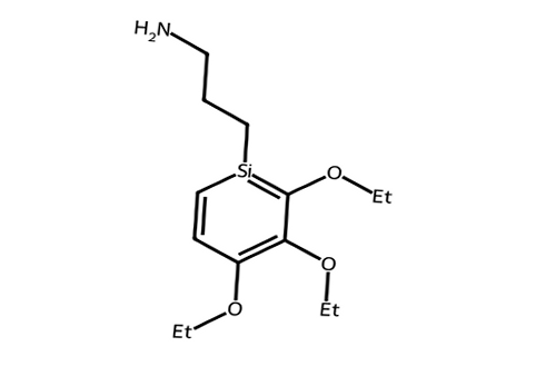 CCOc1cc[si](CCCN)c(OCC)c1OCC